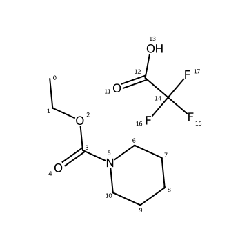 CCOC(=O)N1CCCCC1.O=C(O)C(F)(F)F